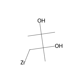 CC(C)(O)C(C)(O)[CH2][Zr]